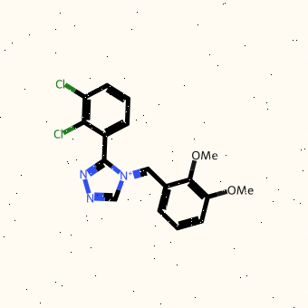 COc1cccc(C=[N+]2C=NN=C2c2cccc(Cl)c2Cl)c1OC